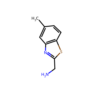 Cc1ccc2sc(CN)nc2c1